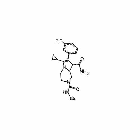 CC(C)(C)NC(=O)N1CCN2C(C3CC3)=C(c3cccc(C(F)(F)F)c3)C(C(N)=O)C2C1